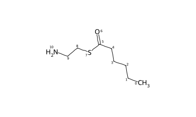 CCCCCC(=O)SCCN